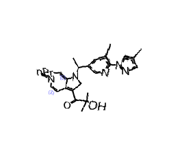 C=N/C=C\C1=C(C(=O)C(C)(C)O)CN(C(C)c2cnc(-n3cc(C)cn3)c(C)c2)/C1=C/CCC